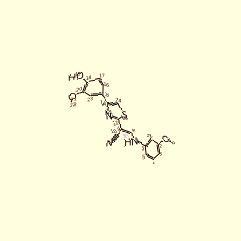 COc1cccc(N/C=C(\C#N)c2nc(-c3ccc(O)c(OC)c3)cs2)c1